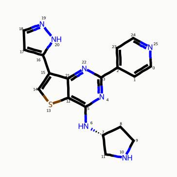 c1cc(-c2nc(N[C@@H]3CCNC3)c3scc(-c4ccn[nH]4)c3n2)ccn1